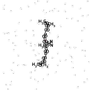 C=CC(=O)OCC(C)OC(=O)CCC(=O)OCCc1ccc(OC(=O)[C@H]2CC[C@H](C(=O)Oc3cc(C)c(OC(=O)[C@H]4CC[C@H](C(=O)Oc5ccc(CCOC(=O)CCC(=O)OCC(C)OC(=O)C=C)cc5)CC4)c4c3SC(=C(C#N)C#N)S4)CC2)cc1